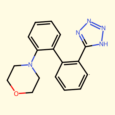 [c]1cccc(-c2ccccc2N2CCOCC2)c1-c1nnn[nH]1